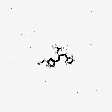 CC(C)C[C@@H](CC1=C[C@@H](CO)NC1)CC1OCCO1